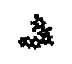 Cn1ccnc1CN1CCN(c2cc(F)cc3c2CN(C2CCC(=O)NC2=O)C3=O)CC1